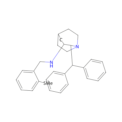 CSc1ccccc1CNC1CC2CCN(CC2)C1C(c1ccccc1)c1ccccc1